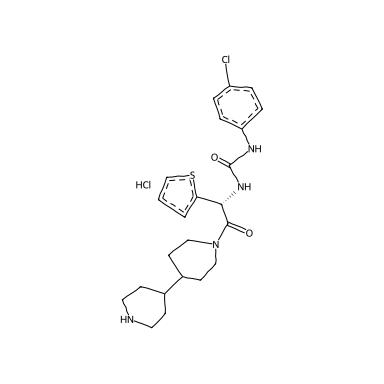 Cl.O=C(Nc1ccc(Cl)cc1)N[C@H](C(=O)N1CCC(C2CCNCC2)CC1)c1cccs1